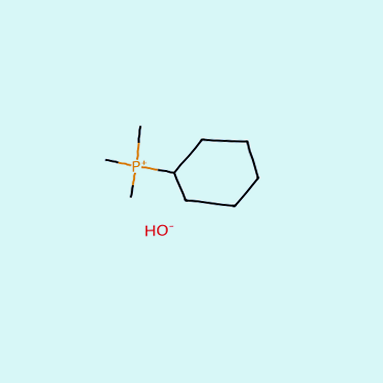 C[P+](C)(C)C1CCCCC1.[OH-]